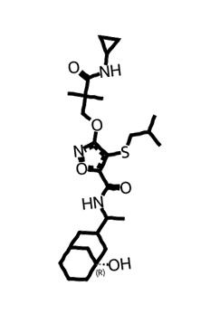 CC(C)CSc1c(OCC(C)(C)C(=O)NC2CC2)noc1C(=O)NC(C)C1CC2CCC[C@@](O)(C2)C1